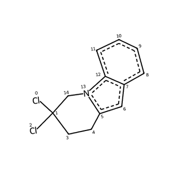 ClC1(Cl)CCc2cc3ccccc3n2C1